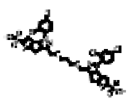 O=S(=O)(O)c1cc2c(s1)Cc1c(COCCCOCc3nn(-c4ccc(Cl)cc4Cl)c4c3Cc3sc(S(=O)(=O)O)cc3-4)nn(-c3ccc(Cl)cc3Cl)c1-2